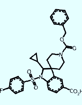 O=C(O)c1ccc2c(c1)C1(CCN(C(=O)OCc3ccccc3)CC1)C(C1CC1)N2S(=O)(=O)c1ccc(F)cc1